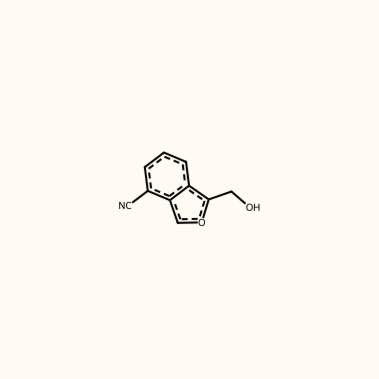 N#Cc1cccc2c(CO)occ12